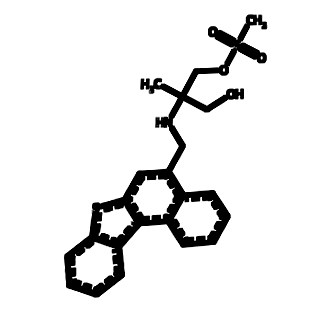 CC(CO)(COS(C)(=O)=O)NCc1cc2sc3ccccc3c2c2ccccc12